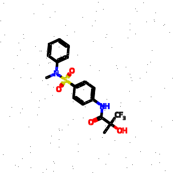 CN(c1ccccc1)S(=O)(=O)c1ccc(NC(=O)C(C)(O)C(F)(F)F)cc1